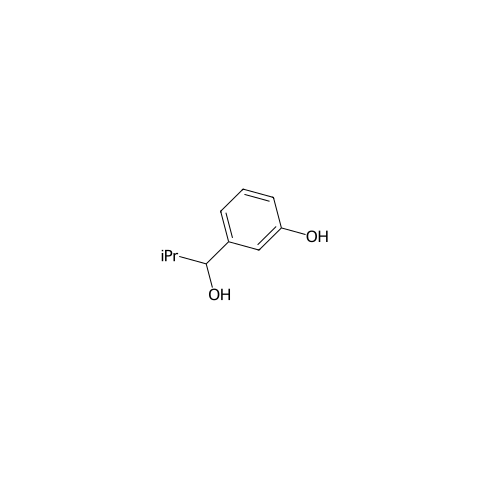 CC(C)C(O)c1cccc(O)c1